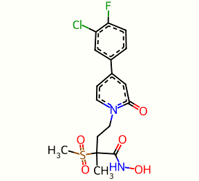 CC(CCn1ccc(-c2ccc(F)c(Cl)c2)cc1=O)(C(=O)NO)S(C)(=O)=O